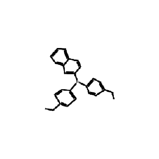 CCc1ccc(N(c2ccc(CC)cc2)c2ccc3ccccc3c2)cc1